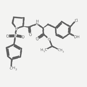 Cc1ccc(S(=O)(=O)N2CCC[C@H]2C(=O)N[C@@H](Cc2ccc(O)c(Cl)c2)C(=O)OC(C)C)cc1